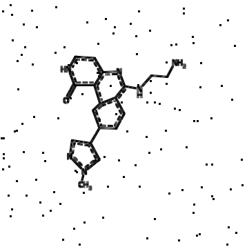 Cn1cc(-c2ccc3c(NCCN)nc4cc[nH]c(=O)c4c3c2)cn1